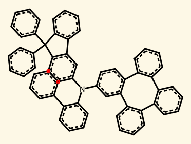 c1ccc(-c2ccccc2N(c2ccc3c(c2)-c2ccccc2-c2ccccc2-c2ccccc2-3)c2ccc3c(c2)-c2ccccc2C3(c2ccccc2)c2ccccc2)cc1